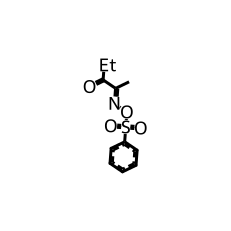 CCC(=O)/C(C)=N/OS(=O)(=O)c1ccccc1